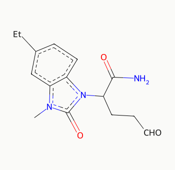 CCc1ccc2c(c1)n(C)c(=O)n2C(CCC=O)C(N)=O